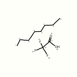 CCCCCCCC.O=C(O)C(F)(F)F